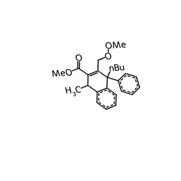 CCCCC1(c2ccccc2)C(COOC)=C(C(=O)OC)C(C)c2ccccc21